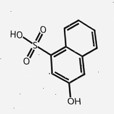 O=S(=O)(O)c1[c]c(O)cc2ccccc12